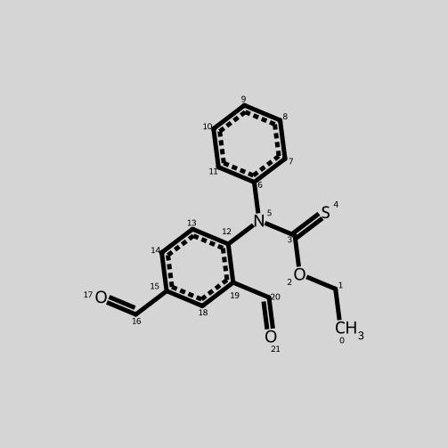 CCOC(=S)N(c1ccccc1)c1ccc(C=O)cc1C=O